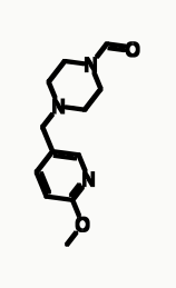 COc1ccc(CN2CCN(C=O)CC2)cn1